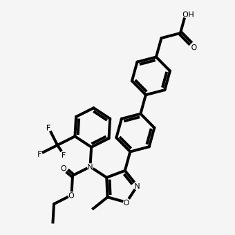 CCOC(=O)N(c1ccccc1C(F)(F)F)c1c(-c2ccc(-c3ccc(CC(=O)O)cc3)cc2)noc1C